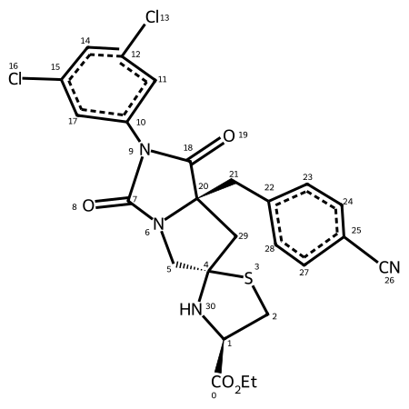 CCOC(=O)[C@@H]1CS[C@@]2(CN3C(=O)N(c4cc(Cl)cc(Cl)c4)C(=O)[C@]3(Cc3ccc(C#N)cc3)C2)N1